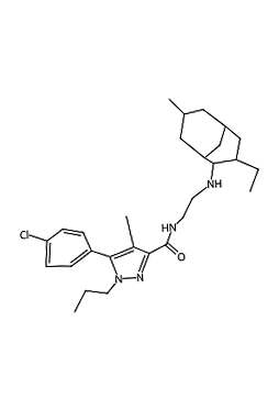 CCCn1nc(C(=O)NCCNC2C(CC)CC3CC(C)CC2C3)c(C)c1-c1ccc(Cl)cc1